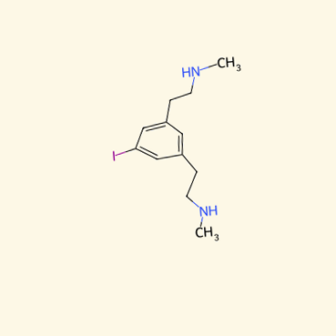 CNCCc1cc(I)cc(CCNC)c1